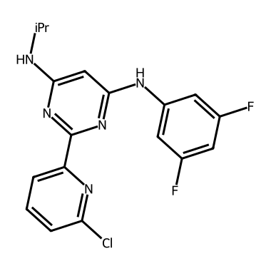 CC(C)Nc1cc(Nc2cc(F)cc(F)c2)nc(-c2cccc(Cl)n2)n1